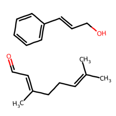 CC(C)=CCCC(C)=CC=O.OCC=Cc1ccccc1